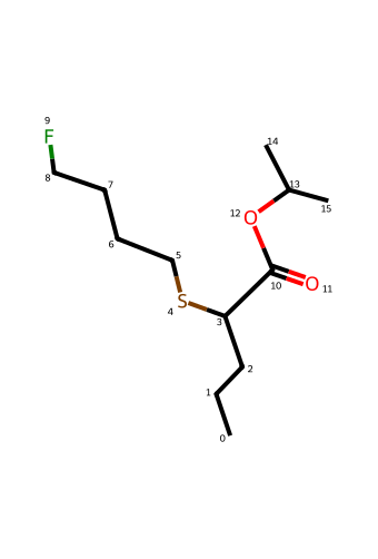 CCCC(SCCCCF)C(=O)OC(C)C